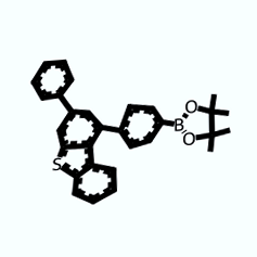 CC1(C)OB(c2ccc(-c3cc(-c4ccccc4)cc4sc5ccccc5c34)cc2)OC1(C)C